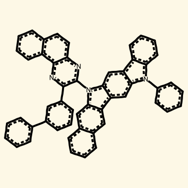 c1ccc(-c2cccc(-c3nc4c(ccc5ccccc54)nc3-n3c4cc5ccccc5cc4c4cc5c(cc43)c3ccccc3n5-c3ccccc3)c2)cc1